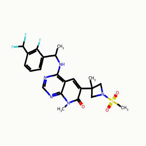 CC(Nc1ncnc2c1cc(C1(C)CN(S(C)(=O)=O)C1)c(=O)n2C)c1cccc(C(F)F)c1F